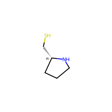 SC[C@H]1CCCN1